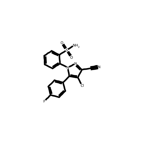 N#Cc1nn(-c2ccccc2S(N)(=O)=O)c(-c2ccc(F)cc2)c1Cl